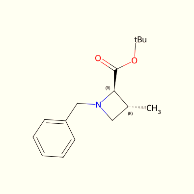 C[C@@H]1CN(Cc2ccccc2)[C@H]1C(=O)OC(C)(C)C